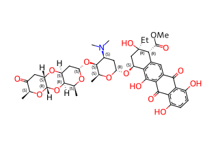 CC[C@@]1(O)C[C@H](O[C@H]2C[C@H](N(C)C)[C@H](O[C@H]3C[C@@H]4O[C@H]5CC(=O)[C@H](C)O[C@H]5O[C@@H]4[C@H](C)O3)[C@H](C)O2)c2c(cc3c(c2O)C(=O)c2c(O)ccc(O)c2C3=O)[C@H]1C(=O)OC